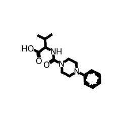 CC(C)C(NC(=O)N1CCN(c2ccccc2)CC1)C(=O)O